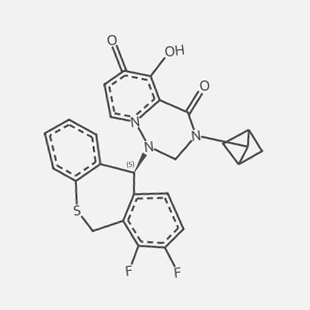 O=C1c2c(O)c(=O)ccn2N([C@@H]2c3ccccc3SCc3c2ccc(F)c3F)CN1C1C2CC1C2